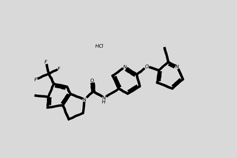 Cc1cc2c(cc1C(F)(F)F)N(C(=O)Nc1ccc(Oc3cccnc3C)nc1)CC2.Cl